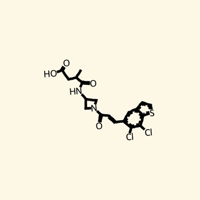 CC(CC(=O)O)C(=O)NC1CN(C(=O)C=Cc2cc3ccsc3c(Cl)c2Cl)C1